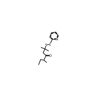 CCC(C)C(=O)CC(C)(C)SSc1ccccn1